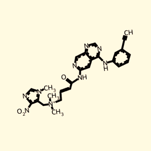 C#Cc1cccc(Nc2ncnc3cnc(NC(=O)/C=C/C[N+](C)(C)Cc4c([N+](=O)[O-])ncn4C)cc23)c1